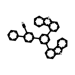 N#Cc1cc(-c2cc(-c3cccc4sc5ccccc5c34)cc(-c3cccc4sc5ccccc5c34)c2)ccc1-c1ccccc1